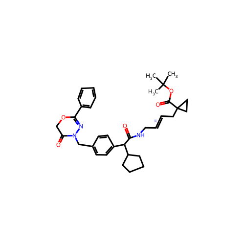 CC(C)(C)OC(=O)C1(C/C=C/CNC(=O)C(c2ccc(CN3N=C(c4ccccc4)OCC3=O)cc2)C2CCCC2)CC1